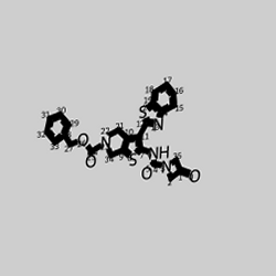 O=C1CN(C(=O)Nc2sc3c(c2-c2nc4ccccc4s2)CCN(C(=O)OCc2ccccc2)C3)C1